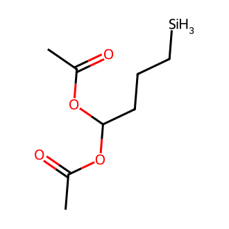 CC(=O)OC(CCC[SiH3])OC(C)=O